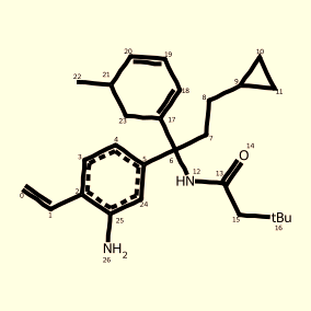 C=Cc1ccc(C(CCC2CC2)(NC(=O)CC(C)(C)C)C2=CC=CC(C)C2)cc1N